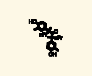 CCCC(C)(C(=O)C(C)(CCC)c1ccc(O)c(C)c1)c1ccc(O)c(C)c1